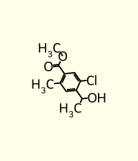 COC(=O)c1cc(Cl)c(C(C)O)cc1C